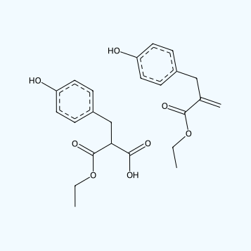 C=C(Cc1ccc(O)cc1)C(=O)OCC.CCOC(=O)C(Cc1ccc(O)cc1)C(=O)O